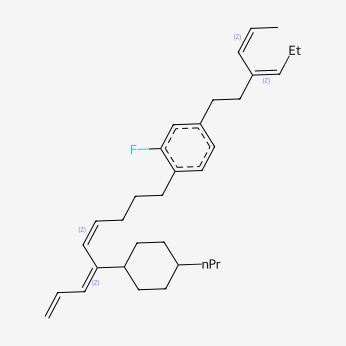 C=C/C=C(\C=C/CCCc1ccc(CCC(/C=C\C)=C/CC)cc1F)C1CCC(CCC)CC1